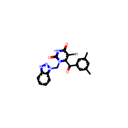 Cc1cc(C)cc(C(=O)c2c(C(C)C)c(=O)[nH]c(=O)n2Cn2nnc3ccccc32)c1